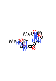 COC(=O)N[C@H](C(=O)N[C@H](c1ncc(-c2ccc3c(c2)COCc2cc(-c4cnc([C@@H]5CCCN5C(=O)[C@@H](NC(=O)OC)C(C)C)[nH]4)ccc2-3)[nH]1)C1CCCC1)C(C)C